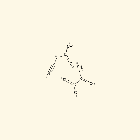 CC(=O)C(=O)O.N#CCC(=O)O